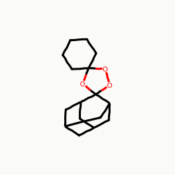 C1CCC2(CC1)OOC1(O2)C2CC3CC(C2)CC1C3